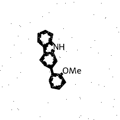 COc1ccccc1-c1ccc2c(c1)[nH]c1ccccc12